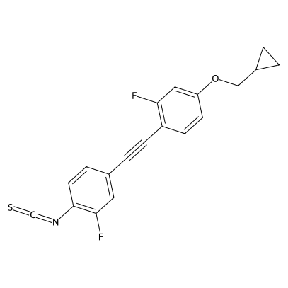 Fc1cc(OCC2CC2)ccc1C#Cc1ccc(N=C=S)c(F)c1